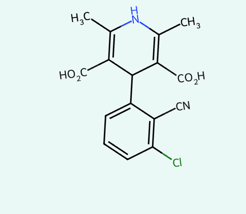 CC1=C(C(=O)O)C(c2cccc(Cl)c2C#N)C(C(=O)O)=C(C)N1